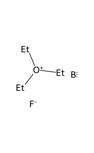 CC[O+](CC)CC.[B].[F-]